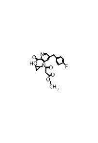 CCOC(=O)CC(=O)N(c1cc(Cc2ccc(F)cc2)cnc1C(=O)O)C1CC1